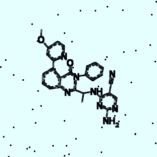 COc1ccnc(-c2cccc3nc(C(C)Nc4nc(N)ncc4C#N)n(-c4ccccc4)c(=O)c23)c1